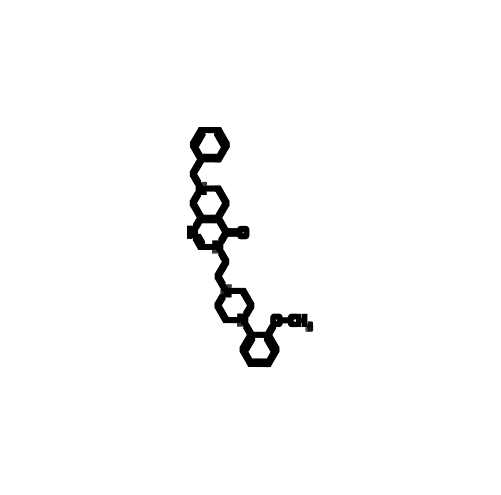 COc1ccccc1N1CCN(CCn2cnc3c(c2=O)CCN(Cc2ccccc2)C3)CC1